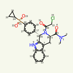 CN(C)C(=O)[C@H]1Cc2c([nH]c3ccccc23)[C@H](c2ccc(S(=O)(=O)C3CC3)cc2)N1C(=O)CCl